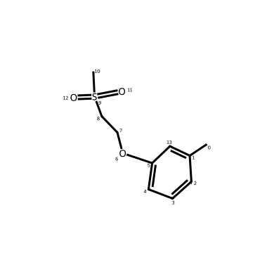 Cc1[c]ccc(OCCS(C)(=O)=O)c1